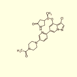 CC(=O)N1CCN(c2ccc(-c3cc(O[C@H](C)C4CNC(=O)C4)c4c(Cl)cnn4c3)nc2)CC1